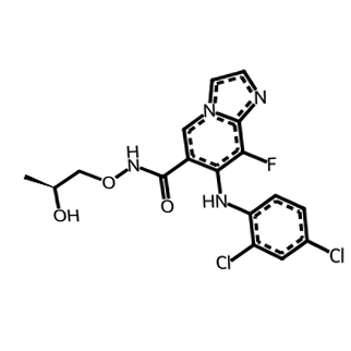 C[C@H](O)CONC(=O)c1cn2ccnc2c(F)c1Nc1ccc(Cl)cc1Cl